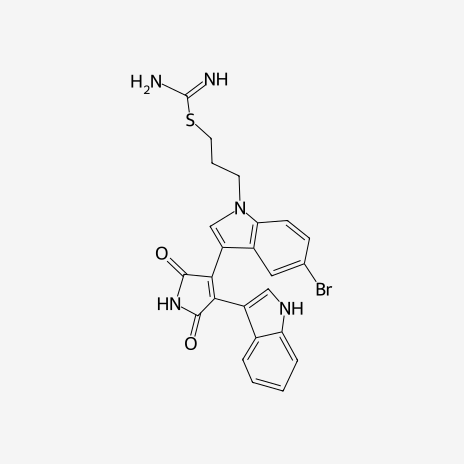 N=C(N)SCCCn1cc(C2=C(c3c[nH]c4ccccc34)C(=O)NC2=O)c2cc(Br)ccc21